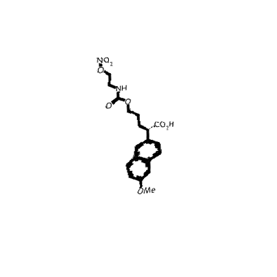 COc1ccc2cc([C@H](CCCOC(=O)NCCO[N+](=O)[O-])C(=O)O)ccc2c1